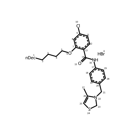 Br.CCCCCCCCCCCCCCOc1cc(Cl)ccc1C(=O)Nc1ccc(CN2CSC=C2C)cc1